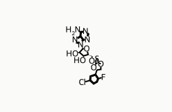 Nc1ncnc2c1ncn2[C@@H]1O[C@H](COP2(=S)OCC(c3cc(Cl)ccc3F)O2)[C@@H](O)[C@H]1O